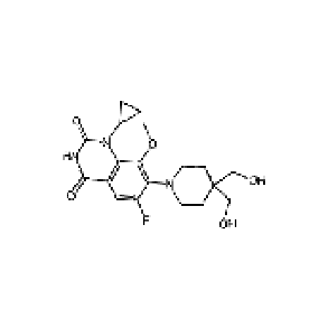 COc1c(N2CCC(CO)(CO)CC2)c(F)cc2c(=O)[nH]c(=O)n(C3CC3)c12